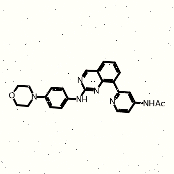 CC(=O)Nc1ccnc(-c2cccc3cnc(Nc4ccc(N5CCOCC5)cc4)nc23)c1